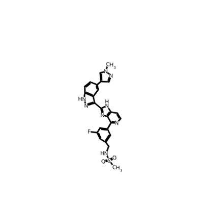 Cn1cc(-c2ccc3[nH]nc(-c4nc5c(-c6cc(F)cc(CNS(C)(=O)=O)c6)nccc5[nH]4)c3c2)cn1